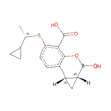 C[C@H](Sc1ccc2c(c1C(=O)O)OB(O)[C@@H]1C[C@H]21)C1CC1